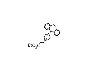 CCOC(=O)CCN1CCN(C2c3ccccc3CCc3ccccc32)CC1